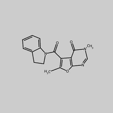 Cc1oc2ncn(C)c(=O)c2c1C(=O)N1CCc2ccccc21